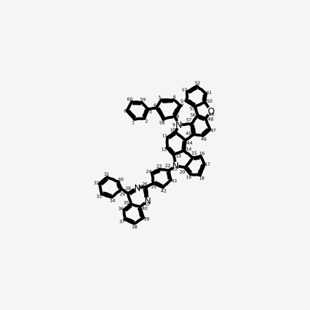 c1ccc(-c2cccc(-n3c4ccc5c(c6ccccc6n5-c5ccc(-c6nc(-c7ccccc7)c7ccccc7n6)cc5)c4c4ccc5oc6ccccc6c5c43)c2)cc1